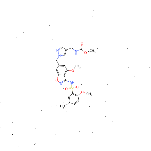 COC(=O)NCc1cnn(Cc2cc(OC)c3c(NS(=O)(=O)c4cc(C)ccc4OC)noc3c2)c1